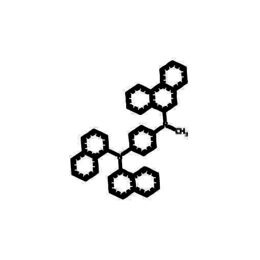 CN(c1ccc(N(c2cccc3ccccc23)c2cccc3ccccc23)cc1)c1cc2ccccc2c2ccccc12